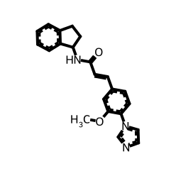 COc1cc(/C=C/C(=O)NC2CCc3ccccc32)ccc1-n1ccnc1